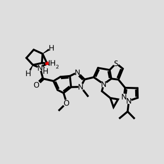 COc1cc(C(=O)N2C[C@H]3CC[C@@H]2[C@@H]3N)cc2nc(-c3cc4scc(-c5ccn(C(C)C)n5)c4n3CC3CC3)n(C)c12